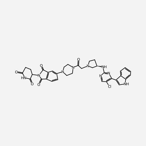 O=C1CCC(N2C(=O)c3ccc(N4CCN(C(=O)CN5CC[C@@H](Nc6ncc(Cl)c(-c7c[nH]c8ccccc78)n6)C5)CC4)cc3C2=O)C(=O)N1